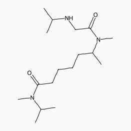 CC(C)NCC(=O)N(C)C(C)CCCCC(=O)N(C)C(C)C